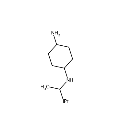 CC(C)C(C)NC1CCC(N)CC1